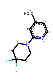 O=C(O)c1ccnc(N2CCC(F)(F)CC2)c1